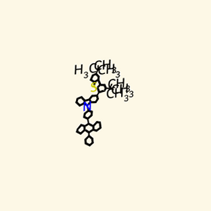 CC(C)(C)c1ccc2sc3c(-c4ccc5c(c4)c4ccccc4n5-c4ccc(-c5c6ccccc6c(-c6ccccc6)c6ccccc56)cc4)cc(C(C)(C)C)cc3c2c1